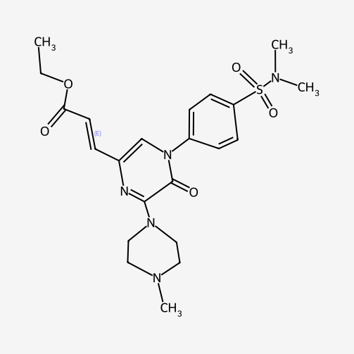 CCOC(=O)/C=C/c1cn(-c2ccc(S(=O)(=O)N(C)C)cc2)c(=O)c(N2CCN(C)CC2)n1